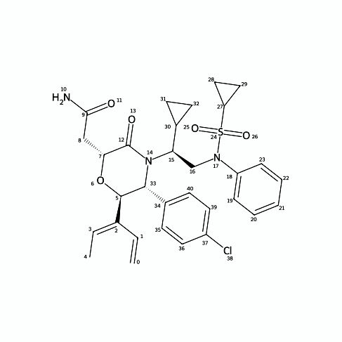 C=C/C(=C\C)[C@H]1O[C@H](CC(N)=O)C(=O)N([C@H](CN(c2ccccc2)S(=O)(=O)C2CC2)C2CC2)[C@@H]1c1ccc(Cl)cc1